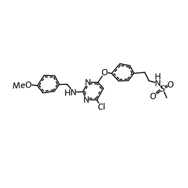 COc1ccc(CNc2nc(Cl)cc(Oc3ccc(CCNS(C)(=O)=O)cc3)n2)cc1